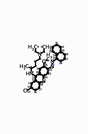 CCN(CC)CCCC(C)Nc1c2cc(Cl)ccc2nc2cc(/N=N/c3cccc4ccccc34)c(OC)cc12